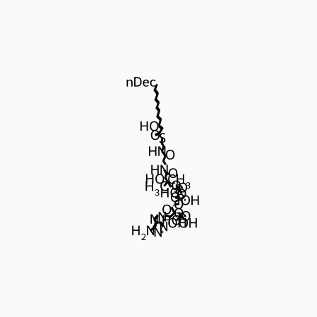 CCCCCCCCCCCC=CC=CC=CC=CC(O)=CC(=O)SCCNC(=O)CCNC(=O)[C@H](O)C(C)(C)COP(=O)(O)OP(=O)(O)OC[C@H]1O[C@@H](n2cnc3c(N)ncnc32)[C@H](O)[C@@H]1OP(=O)(O)O